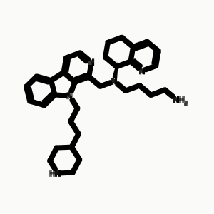 NCCCCN(Cc1nccc2c3ccccc3n(CCCC3CCNCC3)c12)[C@H]1CCCc2cccnc21